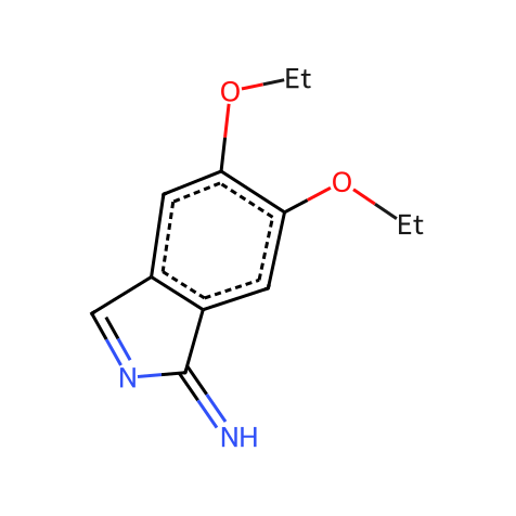 CCOc1cc2c(cc1OCC)C(=N)N=C2